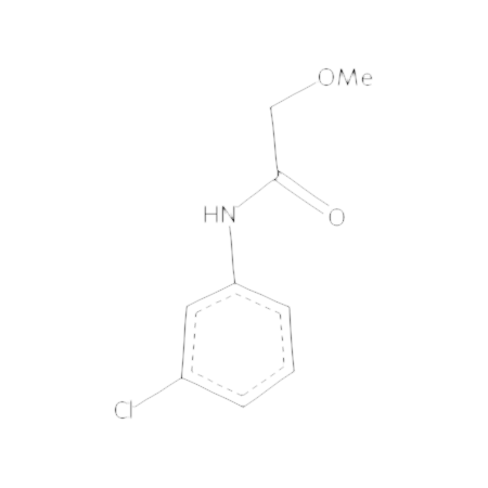 COCC(=O)Nc1cccc(Cl)c1